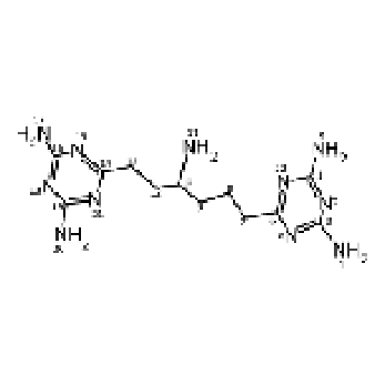 Nc1nc(N)nc(CCCC(N)CCc2nc(N)nc(N)n2)n1